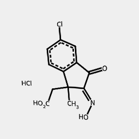 CC1(CC(=O)O)/C(=N\O)C(=O)c2cc(Cl)ccc21.Cl